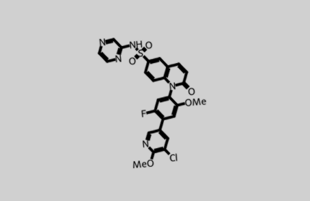 COc1cc(-c2cnc(OC)c(Cl)c2)c(F)cc1-n1c(=O)ccc2cc(S(=O)(=O)Nc3cnccn3)ccc21